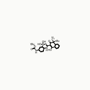 CCCCC1(C)C(=O)C(C2=NS(O)(O)c3cc(NC(=O)OC(C)(C)C)ccc3N2)=C(O)c2ccccc21